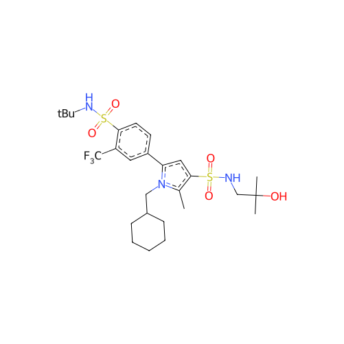 Cc1c(S(=O)(=O)NCC(C)(C)O)cc(-c2ccc(S(=O)(=O)NC(C)(C)C)c(C(F)(F)F)c2)n1CC1CCCCC1